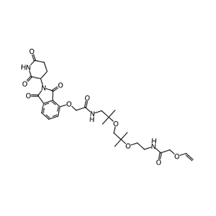 C=COCC(=O)NCCOC(C)(C)COC(C)(C)CNC(=O)COc1cccc2c1C(=O)N(C1CCC(=O)NC1=O)C2=O